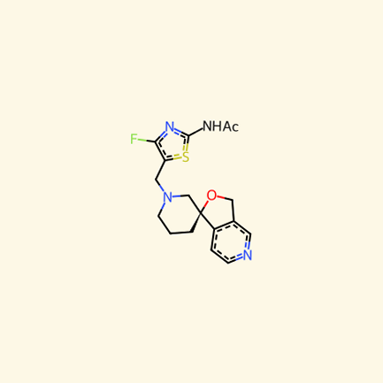 CC(=O)Nc1nc(F)c(CN2CCC[C@@]3(C2)OCc2cnccc23)s1